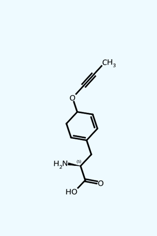 CC#COC1C=CC(C[C@H](N)C(=O)O)=CC1